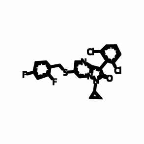 O=c1c(-c2c(Cl)cccc2Cl)c2ncc(SCc3ccc(F)cc3F)cn2n1C1CC1